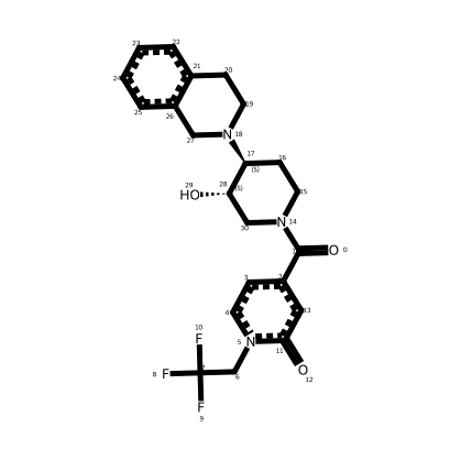 O=C(c1ccn(CC(F)(F)F)c(=O)c1)N1CC[C@H](N2CCc3ccccc3C2)[C@@H](O)C1